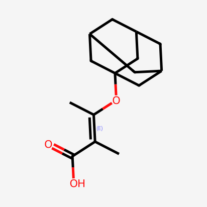 C/C(OC12CC3CC(CC(C3)C1)C2)=C(/C)C(=O)O